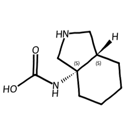 O=C(O)N[C@@]12CCCC[C@H]1CNC2